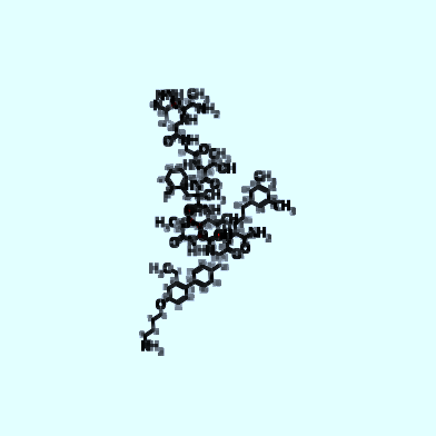 CCc1cc(OCCCCN)ccc1-c1ccc(C[C@H](NC(=O)[C@H](CC(=O)O)NC(=O)[C@H](C)NC(=O)[C@@H](NC(=O)[C@](C)(Cc2ccccc2F)NC(=O)[C@@H](NC(=O)CNC(=O)[C@H](Cc2nn[nH]n2)NC(=O)[C@H](C)N)[C@@H](C)O)[C@@H](C)O)C(=O)N[C@@H](CCCc2cc(C)cc(C)c2)C(N)=O)cc1